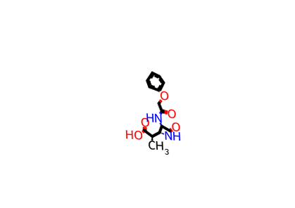 C[C@@H](C(=O)O)[C@H]1NC(=O)[C@@H]1NC(=O)COc1ccccc1